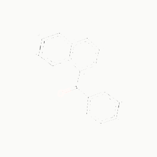 O=C(c1ccccc1)c1cccc2ccccc12